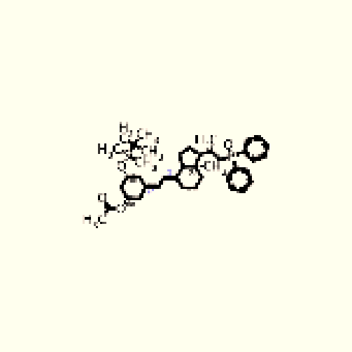 CC(=O)O[C@@H]1C/C(=C/C=C2\CCC[C@@]3(C)C2CCC3[C@H](C)CP(=O)(c2ccccc2)c2ccccc2)C[C@@H](O[Si](C)(C)C(C)(C)C)C1